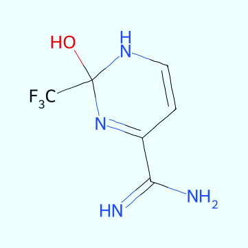 N=C(N)C1=NC(O)(C(F)(F)F)NC=C1